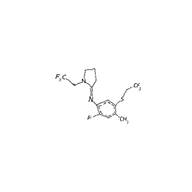 Cc1cc(F)c(/N=C2\CCCN2CC(F)(F)F)cc1SCC(F)(F)F